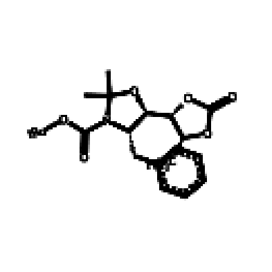 CC(C)(C)OC(=O)N1[C@@H](Cc2ccccc2)[C@H]([C@@H]2OC(=O)O[C@H]2C(=O)O)OC1(C)C